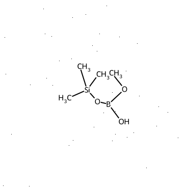 COB(O)O[Si](C)(C)C